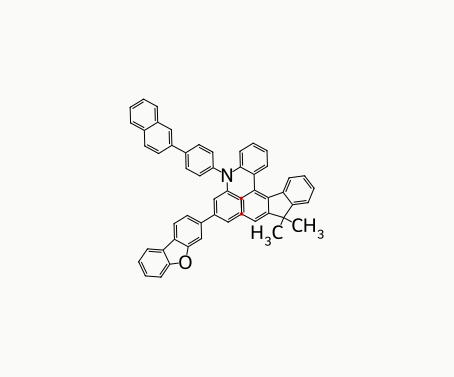 CC1(C)c2ccccc2-c2c(-c3ccccc3N(c3ccc(-c4ccc5ccccc5c4)cc3)c3cccc(-c4ccc5c(c4)oc4ccccc45)c3)cccc21